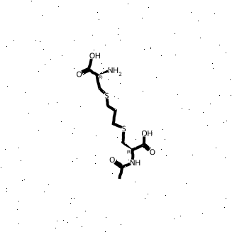 CC(=O)N[C@@H](CSCCCSC[C@H](N)C(=O)O)C(=O)O